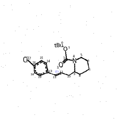 CC(C)(C)OC(=O)N1CCCCC1C/C=C/c1ccc(Cl)cc1